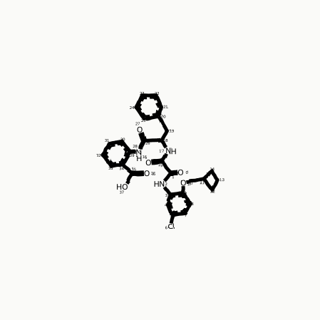 O=C(Nc1cc(Cl)ccc1OC1CCC1)C(=O)NC(Cc1ccccc1)C(=O)Nc1ccccc1C(=O)O